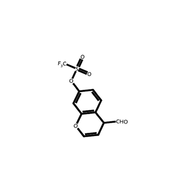 O=CC1C=COc2cc(OS(=O)(=O)C(F)(F)F)ccc21